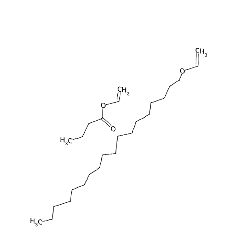 C=COC(=O)CCC.C=COCCCCCCCCCCCCCCCCCC